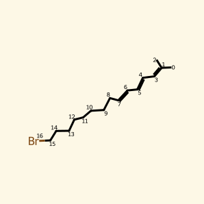 CC(C)=CC=CC=CCCCCCCCCBr